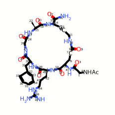 CC(=O)NCC(=O)NC1CCC(=O)NCCCC(C(N)=O)NC(=O)[C@H](C)NC(=O)CNC(=O)C(Cc2ccccc2)NC(=O)[C@H](CCCNC(=N)N)NC1=O